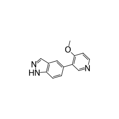 COc1ccncc1-c1ccc2[nH]ncc2c1